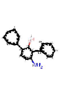 Nc1ccc(-c2ccccc2)c(O)c1-c1ccccc1